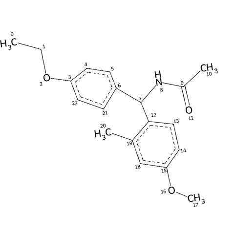 CCOc1ccc(C(NC(C)=O)c2ccc(OC)cc2C)cc1